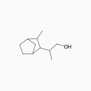 CC(CO)C1C2CCC(C2)C1C